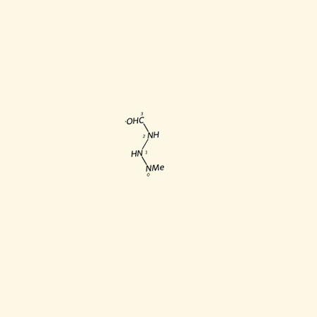 CNNN[C]=O